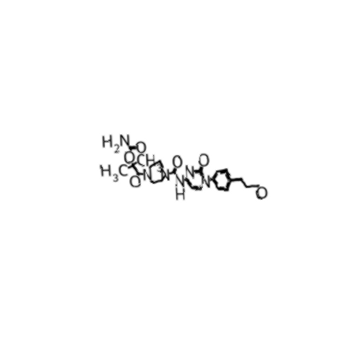 CC(C)(OC(N)=O)C(=O)N1CCN(C(=O)Nc2ccn(-c3ccc(CCC=O)cc3)c(=O)n2)CC1